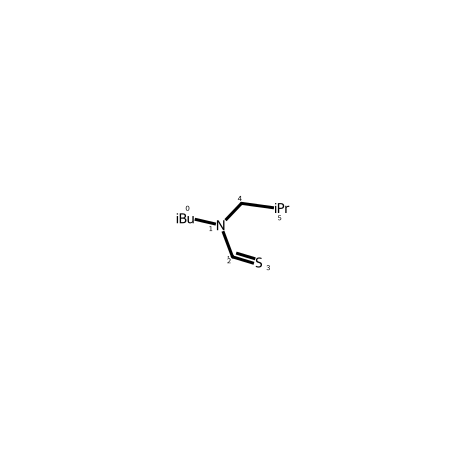 CCC(C)N([C]=S)CC(C)C